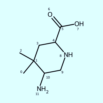 CC1(C)CC(C(=O)O)NCC1N